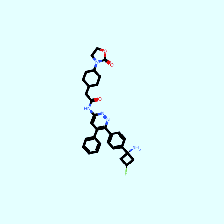 N[C@]1(c2ccc(-c3nnc(NC(=O)CC4CCC(N5CCOC5=O)CC4)cc3-c3ccccc3)cc2)C[C@H](F)C1